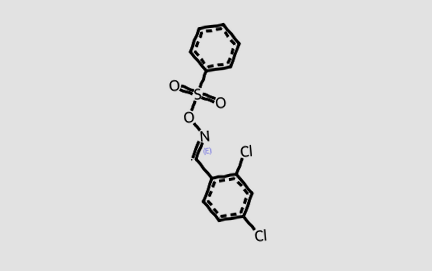 O=S(=O)(O/N=[C]/c1ccc(Cl)cc1Cl)c1ccccc1